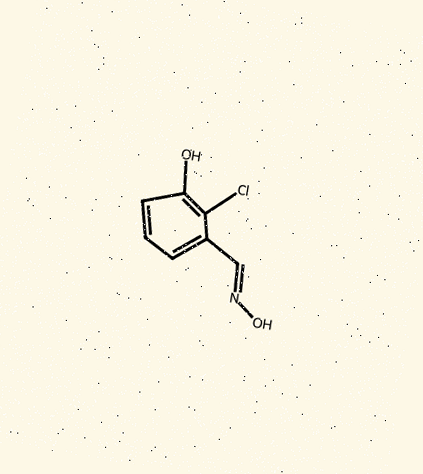 ON=Cc1cccc(O)c1Cl